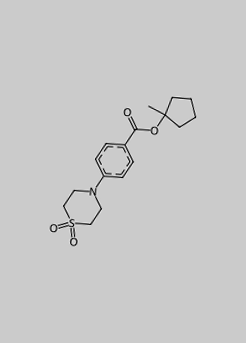 CC1(OC(=O)c2ccc(N3CCS(=O)(=O)CC3)cc2)CCCC1